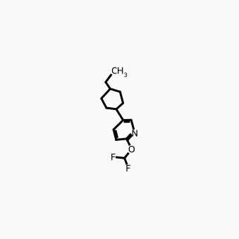 CCC1CCC(c2ccc(OC(F)F)nc2)CC1